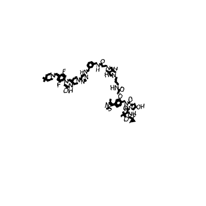 Cc1ncsc1-c1ccc(CNC(=O)[C@@H]2C[C@@H](O)CN2C(=O)[C@@H](NC(=O)C2(F)CC2)C(C)(C)C)c(OCC(=O)NCCCN2C[C@@H]3CN(CCC(=O)NCc4cccc(CNc5cc(N6CCC7(CC6)CN(c6cc(F)c(CN8CCC(C)(C)CC8)cc6F)CC(=O)N7)ncn5)c4)C[C@@H]3C2)c1